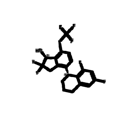 O[C@H]1c2c(SC(F)(F)F)ccc([C@H]3CCCc4cc(F)cc(F)c43)c2CC1(F)F